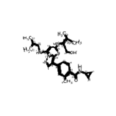 Cc1cc(-c2cnn3c(NCC(C)C)cc(NC(CO)C(C)C)nc23)ccc1C(=O)NC1CC1